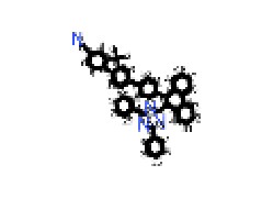 CC1(C)c2cc(C#N)ccc2-c2ccc(-c3ccc(-c4c(-c5nc(-c6ccccc6)nc(-c6ccccc6)n5)c5ccccc5c5ccccc45)cc3)cc21